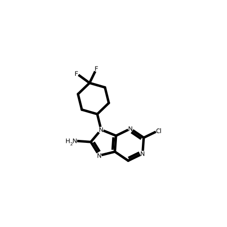 Nc1nc2cnc(Cl)nc2n1C1CCC(F)(F)CC1